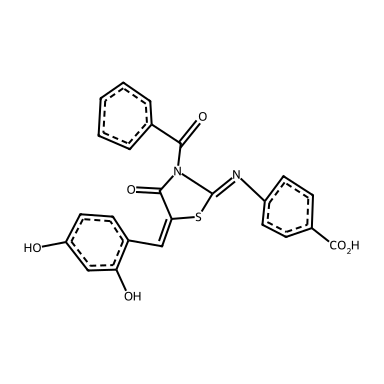 O=C(O)c1ccc(N=C2SC(=Cc3ccc(O)cc3O)C(=O)N2C(=O)c2ccccc2)cc1